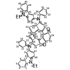 CCn1c2ccccc2c2cc(N(c3ccccc3)c3cc4oc5ccc6oc7cc(N(c8ccccc8)c8ccc9c(c8)c8ccccc8n9CC)c8ccccc8c7c6c5c4c4ccccc34)ccc21